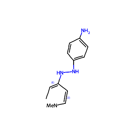 C/C=C(\C=C/NC)NNc1ccc(N)cc1